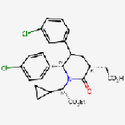 CCOC(=O)[C@H](C1CC1)N1C(=O)[C@@H](CC(=O)O)CC(c2cccc(Cl)c2)[C@H]1c1ccc(Cl)cc1